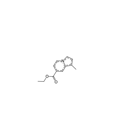 CCOC(=O)c1ccn2ccc(C)c2c1